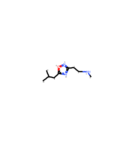 CNCCc1noc(CC(C)C)n1